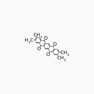 Cc1cc2c(=O)c3cc4c(=O)c5cc(C)c(C)cc5c(=O)c4cc3c(=O)c2cc1C